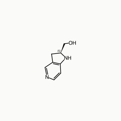 OC[C@@H]1Cc2cnccc2N1